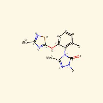 COc1nn(C)c(=O)n1-c1c(C)cccc1Oc1nc(C(C)(C)C)ns1